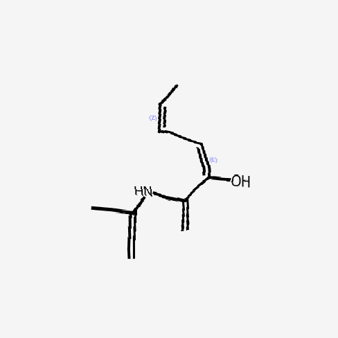 C=C(C)NC(=C)/C(O)=C\C=C/C